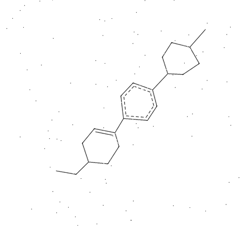 CCC1CC=C(c2ccc(C3CCC(C)CC3)cc2)CC1